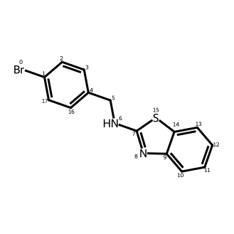 Brc1ccc(CNc2nc3ccccc3s2)cc1